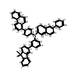 CC1(C)c2ccccc2-c2cc(-c3cccc(N(c4ccc(-c5cccc6c5ccc5ccccc56)cc4)c4ccc5cc(-c6ccccc6)ccc5c4)c3)ccc21